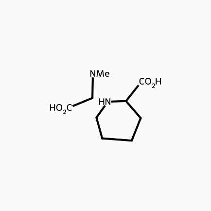 CNCC(=O)O.O=C(O)C1CCCCN1